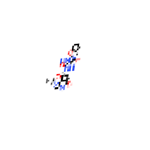 CN1CCC(N(C)C(=O)c2ccc(CNC(=O)c3cc(=O)n(Cc4ccccc4)c(=O)[nH]3)c(OC(F)(F)F)c2)C1